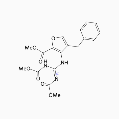 COC(=O)/N=C(\NC(=O)OC)Nc1c(Cc2ccccc2)coc1C(=O)OC